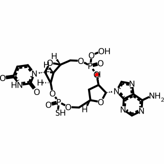 Nc1ncnc2c1ncn2[C@@H]1O[C@@H]2COP(=O)(S)O[C@@H]3[C@H](F)[C@@H](COP(=O)(OO)O[C@@H]1C2)O[C@H]3n1ccc(=O)[nH]c1=O